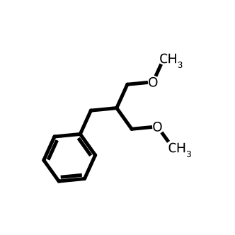 COCC(COC)Cc1ccccc1